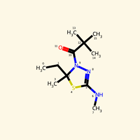 CCC1(C)SC(NC)=NN1C(=O)C(C)(C)C